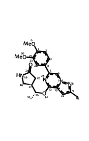 COc1ccc(-c2cn3nc(C)cc3c(O[C@H](C)[C@H]3CNC(=O)C3)n2)cc1OC